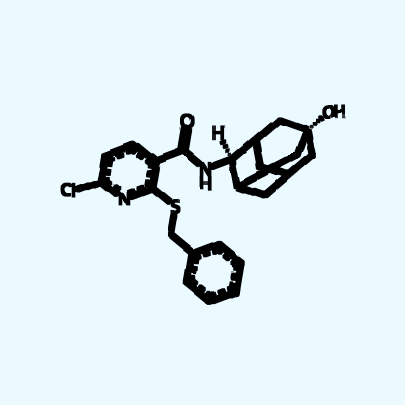 O=C(N[C@H]1C2CC3CC1C[C@](O)(C3)C2)c1ccc(Cl)nc1SCc1ccccc1